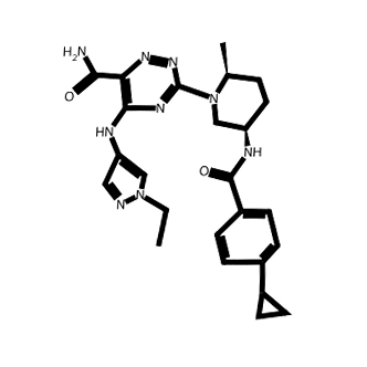 CCn1cc(Nc2nc(N3C[C@H](NC(=O)c4ccc(C5CC5)cc4)CC[C@@H]3C)nnc2C(N)=O)cn1